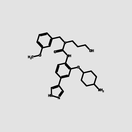 COc1cccc(CN(CCCO)C(=O)Nc2ccc(-c3cn[nH]c3)cc2OC2CCC(N)CC2)c1